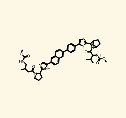 COC(=O)NCC(C)CC(=O)N1CCCC1c1ncc(-c2ccc3cc(-c4ccc(-c5cnc(C6C7CCC(C7)N6C(=O)C(NC(=O)OC)C(C)C)[nH]5)cc4)ccc3c2)[nH]1